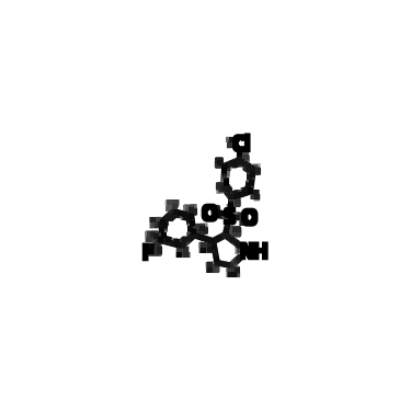 O=S(=O)(c1ccc(Cl)cc1)C1NCCC1c1cccc(F)c1